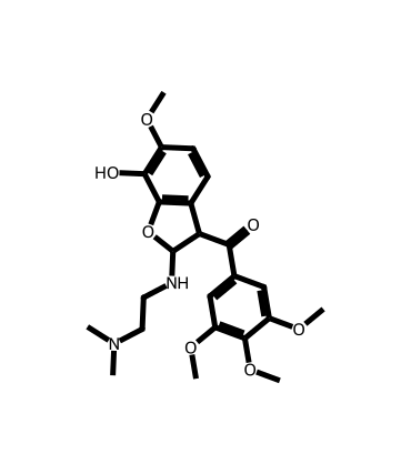 COc1ccc2c(c1O)OC(NCCN(C)C)C2C(=O)c1cc(OC)c(OC)c(OC)c1